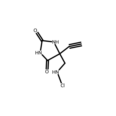 C#CC1(CNCl)NC(=O)NC1=O